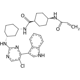 C=CC(=O)N[C@H]1CC[C@@H](C(=O)N[C@H]2CCC[C@@H](Nc3ncc(Cl)c(-c4c[nH]c5ccccc45)n3)C2)CC1